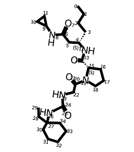 CCCC[C@@H](CC(=O)NC1CC1)NC(=O)[C@@H]1CCCN1C(=O)CNC(=O)NC1(CC)CCCCC1